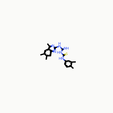 Cc1ccc(NC(=S)NC(=N)Nc2nc(C)c3cc(C)c(C)cc3n2)cc1C